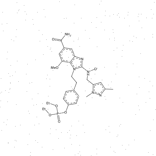 CCOP(=O)(OCC)Oc1ccc(CCn2c([NH+]([O-])Cc3cc(C)nn3C)nc3cc(C(N)=O)cc(OC)c32)cc1